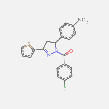 O=C(c1ccc(Cl)cc1)N1N=C(c2cccs2)CC1c1ccc([N+](=O)[O-])cc1